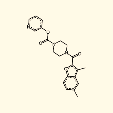 Cc1ccc2oc(C(=O)N3CCN(C(=O)Oc4cccnc4)CC3)c(C)c2c1